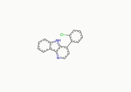 Clc1ccccc1-c1ccnc2c1[nH]c1ccccc12